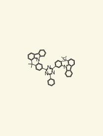 CC1(C)c2ccc(-c3nc(-c4ccccc4)nc(-c4ccc5c(c4)-n4c6ccccc6c6cccc(c64)[Si]5(C)C)n3)cc2-n2c3ccccc3c3cccc1c32